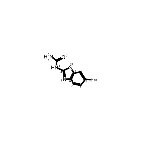 NC(=O)Nc1nc2ccc(F)cc2s1